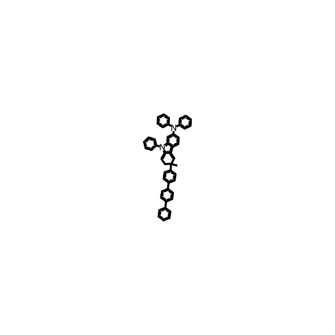 CC1(c2ccc(-c3ccc(-c4ccccc4)cc3)cc2)C=c2c(n(-c3ccccc3)c3cc(N(c4ccccc4)c4ccccc4)ccc23)=CC1